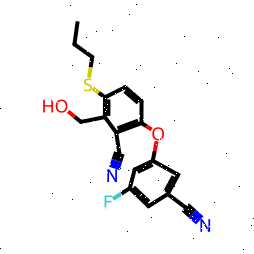 CCCSc1ccc(Oc2cc(F)cc(C#N)c2)c(C#N)c1CO